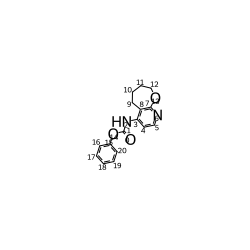 O=C(Nc1ccnc2c1CCCCO2)Oc1ccccc1